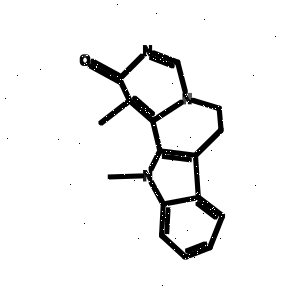 Cc1c2n(cnc1=O)CCc1c-2n(C)c2ccccc12